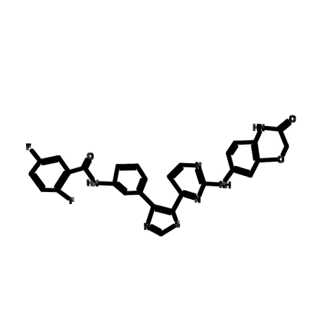 O=C1COc2cc(Nc3nccc(-c4scnc4-c4cccc(NC(=O)c5cc(F)ccc5F)c4)n3)ccc2N1